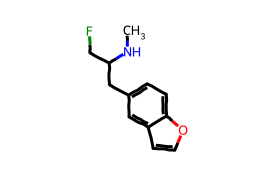 CNC(CF)Cc1ccc2occc2c1